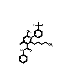 CCCCCc1c(C(=O)Nc2ccccc2)c(=O)cc(C)n1-c1cccc(C(F)(F)F)c1